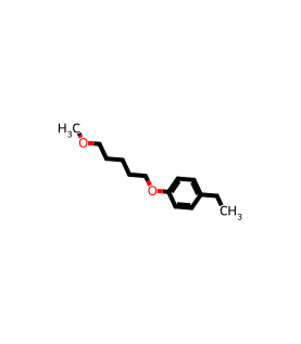 CCc1ccc(OCCCCCOC)cc1